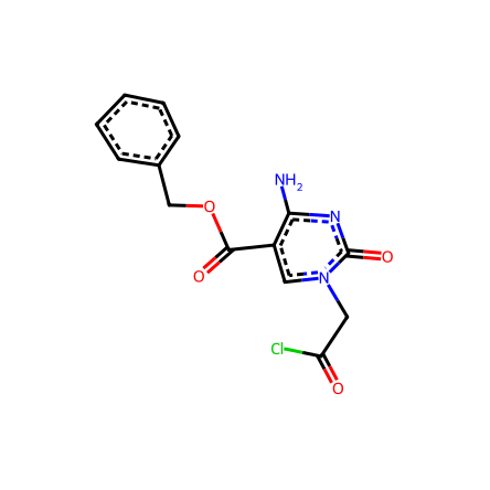 Nc1nc(=O)n(CC(=O)Cl)cc1C(=O)OCc1ccccc1